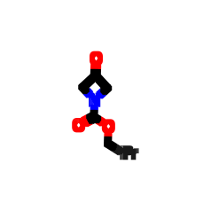 CC(C)COC(=O)N1CC(=O)C1